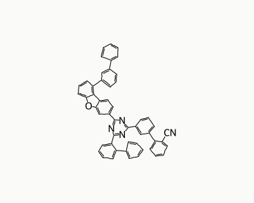 N#Cc1ccccc1-c1cccc(-c2nc(-c3ccc4c(c3)oc3cccc(-c5cccc(-c6ccccc6)c5)c34)nc(-c3ccccc3-c3ccccc3)n2)c1